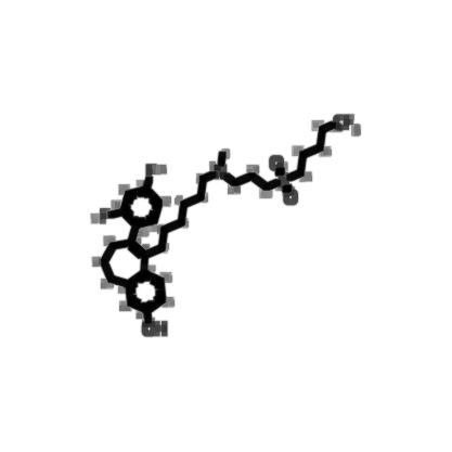 CN(CCCCCCC1=C(c2ccc(F)cc2F)CCCc2cc(O)ccc21)CCCS(=O)(=O)CCCCC(F)(F)F